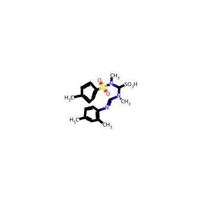 Cc1ccc(S(=O)(=O)N(C)C(N(C)C=Nc2ccc(C)cc2C)S(=O)(=O)O)cc1